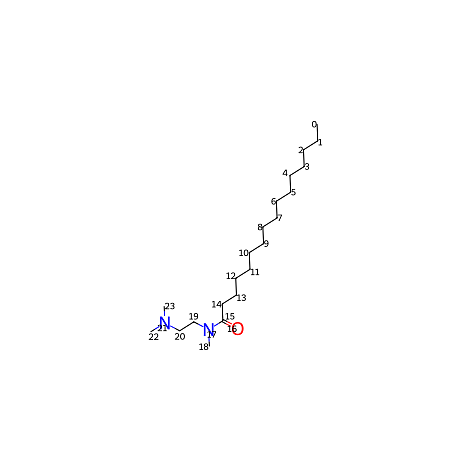 CCCCCCCCCCCCCCCC(=O)N(C)CCN(C)C